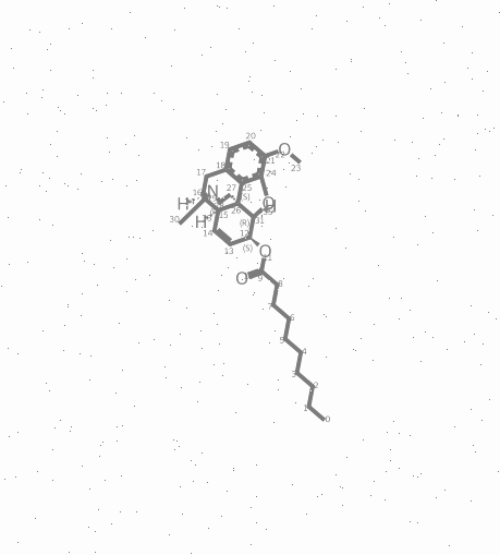 CCCCCCCCCC(=O)O[C@H]1C=C[C@H]2[C@H]3Cc4ccc(OC)c5c4[C@@]2(CCN3C)[C@H]1O5